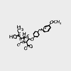 COc1ccc[n+](Cc2ccc(OC3=C(C(=O)[O-])N4C(=O)[C@H]([C@@H](C)O)[C@H]4S3)cc2)c1